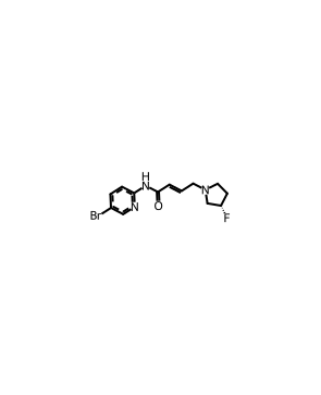 O=C(/C=C/CN1CC[C@H](F)C1)Nc1ccc(Br)cn1